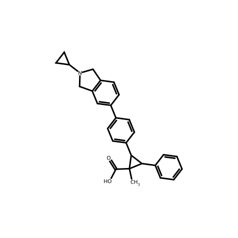 CC1(C(=O)O)C(c2ccccc2)C1c1ccc(-c2ccc3c(c2)CN(C2CC2)C3)cc1